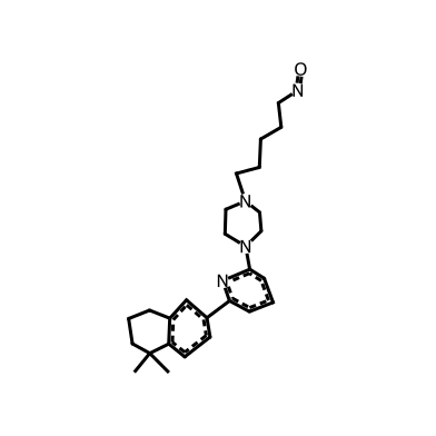 CC1(C)CCCc2cc(-c3cccc(N4CCN(CCCCCN=O)CC4)n3)ccc21